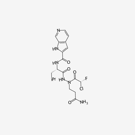 CC(C)C[C@H](NC(=O)c1cc2ccncc2[nH]1)C(=O)NN(CCC(N)=O)C(=O)[C@H](F)Cl